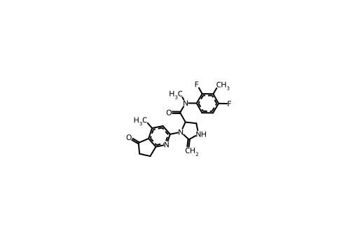 C=C1NCC(C(=O)N(C)c2ccc(F)c(C)c2F)N1c1cc(C)c2c(n1)CCC2=O